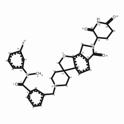 CN(C(=O)c1cccc(CN2CCC3(CC2)COc2c3ccc3c2CN(C2CCC(=O)NC2=O)C3=O)c1)c1cccc(F)c1